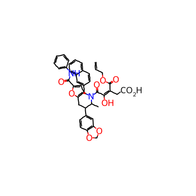 C=CCOC(=O)C(CC(=O)O)=C(O)C(=O)N(Cc1ccc2ccccc2c1)C(C)C(Cc1ccc(C(=O)Nc2ccccc2)o1)c1ccc2c(c1)OCO2